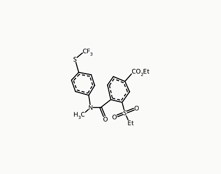 CCOC(=O)c1ccc(C(=O)N(C)c2ccc(SC(F)(F)F)cc2)c(S(=O)(=O)CC)c1